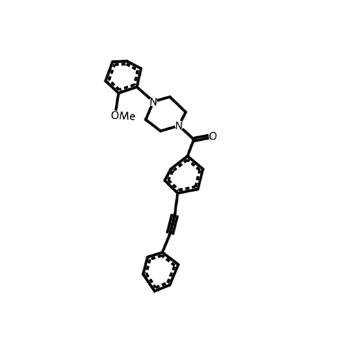 COc1ccccc1N1CCN(C(=O)c2ccc(C#Cc3ccccc3)cc2)CC1